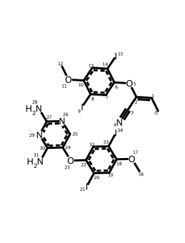 CC=C(C#N)Oc1cc(I)c(OC)cc1I.COc1cc(I)c(Oc2cnc(N)nc2N)cc1I